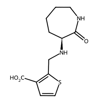 O=C(O)c1ccsc1CN[C@H]1CCCCNC1=O